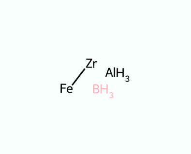 B.[AlH3].[Fe][Zr]